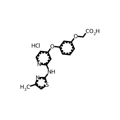 Cc1csc(Nc2cc(Oc3cccc(OCC(=O)O)c3)ccn2)n1.Cl